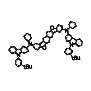 CC(C)(C)c1cccc(-n2c3ccccc3c3cc(N(c4ccccc4)c4ccc5oc6cc7cc8c(cc7cc6c5c4)oc4ccc(N(c5ccccc5)c5ccc6c(c5)c5ccccc5n6-c5cccc(C(C)(C)C)c5)cc48)ccc32)c1